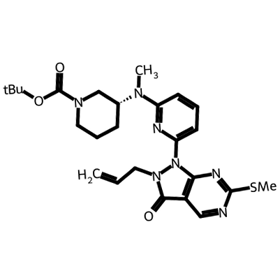 C=CCn1c(=O)c2cnc(SC)nc2n1-c1cccc(N(C)[C@@H]2CCCN(C(=O)OC(C)(C)C)C2)n1